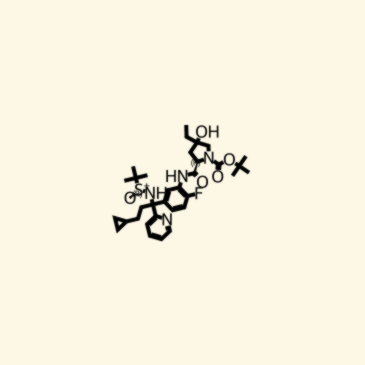 CCC1(O)C[C@H](C(=O)Nc2cc(C(CCC3CC3)(N[S@@+]([O-])C(C)(C)C)c3ccccn3)ccc2F)N(C(=O)OC(C)(C)C)C1